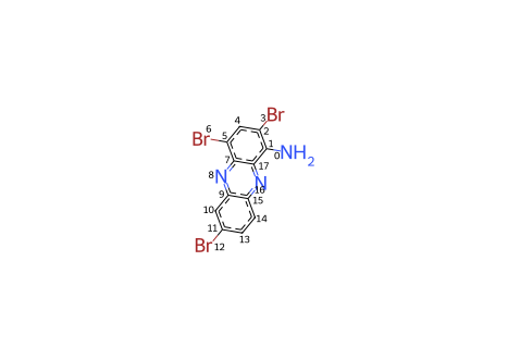 Nc1c(Br)cc(Br)c2nc3cc(Br)ccc3nc12